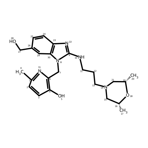 Cc1ccc(O)c(Cn2c(NCCCN3C[C@@H](C)O[C@@H](C)C3)nc3ccc(CO)cc32)n1